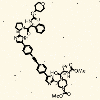 COC(=O)N[C@H](C(=O)N1CCN(C(=O)OC)C[C@H]1c1ncc(-c2ccc(C#Cc3ccc(-c4cnc([C@@H]5CCCN5C(=O)[C@H](NC(=O)OC5CCOCC5)c5ccccc5)[nH]4)cc3)cc2)[nH]1)C(C)C